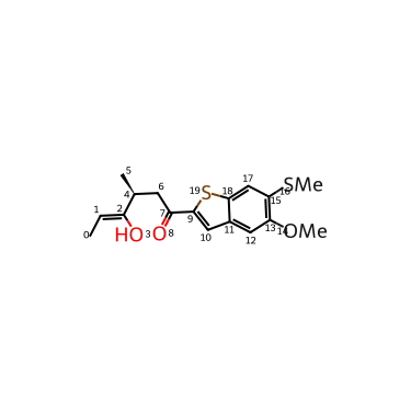 C/C=C(\O)[C@@H](C)CC(=O)c1cc2cc(OC)c(SC)cc2s1